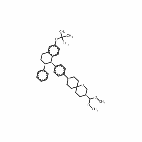 COC(OC)[C@H]1CCC2(CCN(c3ccc([C@@H]4c5ccc(OC(C)(C)C)cc5CC[C@@H]4c4ccccc4)cc3)CC2)OC1